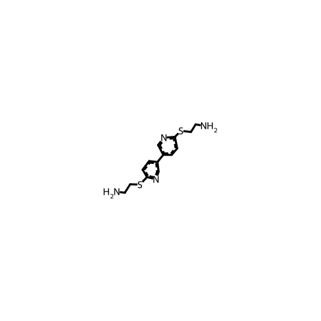 NCCSc1ccc(-c2ccc(SCCN)nc2)cn1